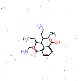 CCC(CCN)C(c1c(C(=O)O)cccc1C(=O)O)C(CC)CCN